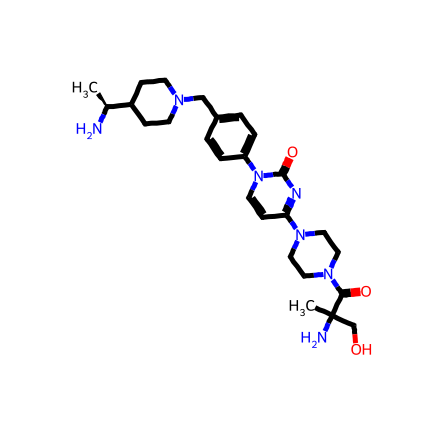 C[C@H](N)C1CCN(Cc2ccc(-n3ccc(N4CCN(C(=O)C(C)(N)CO)CC4)nc3=O)cc2)CC1